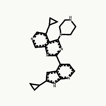 c1cc(-c2nc(N3CCNCC3)c3c(C4CC4)cncc3n2)c2cc(C3CC3)[nH]c2n1